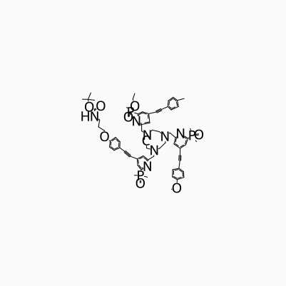 CCOP(C)(=O)c1cc(C#Cc2ccc(C)cc2)cc(CN2CCN(Cc3cc(C#Cc4ccc(OC)cc4)cc(P(C)(C)=O)n3)CCN(Cc3cc(C#Cc4ccc(OCCCNC(=O)OC(C)(C)C)cc4)cc(P(C)(C)=O)n3)CC2)n1